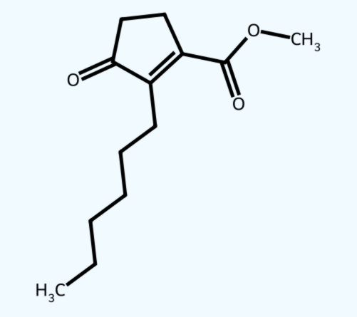 CCCCCCC1=C(C(=O)OC)CCC1=O